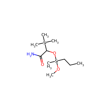 CCC[Si](C)(OC)OC(C(N)=O)[Si](C)(C)C